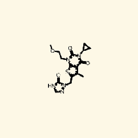 COCCn1c(=O)n(C2CC2)c(=O)c2c(C)c(Cn3nc[nH]c3=O)sc21